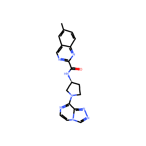 Cc1ccc2nc(C(=O)N[C@H]3CCN(c4nccn5cnnc45)C3)ncc2c1